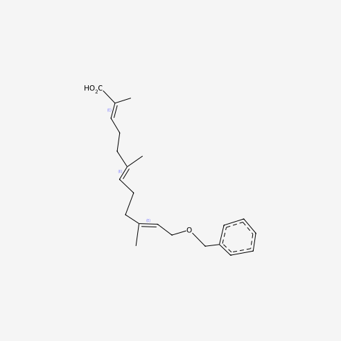 C/C(=C\CC/C(C)=C/COCc1ccccc1)CC/C=C(\C)C(=O)O